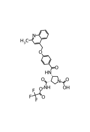 Cc1cc(COc2ccc(C(=O)N[C@@H]3CN(C(=O)O)C[C@@H]3C(=O)NOC(=O)C(F)(F)F)cc2)c2ccccc2n1